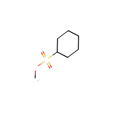 COS(=O)(=O)C1CC[CH]CC1